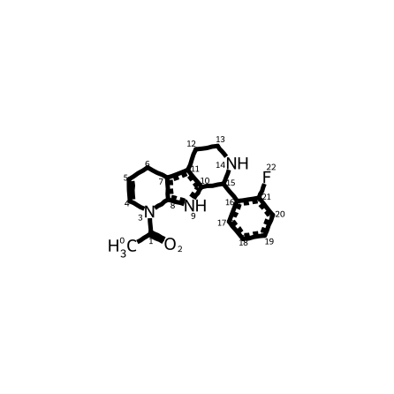 CC(=O)N1C=CCc2c1[nH]c1c2CCNC1c1ccccc1F